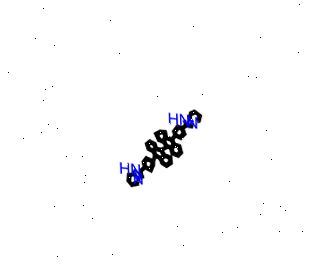 C1=CC2NC(c3ccc(-c4c5ccccc5c(-c5c6ccccc6c(-c6ccc(C7=CN8C=CC=CC8N7)cc6)c6ccccc56)c5ccccc45)cc3)=CN2C=C1